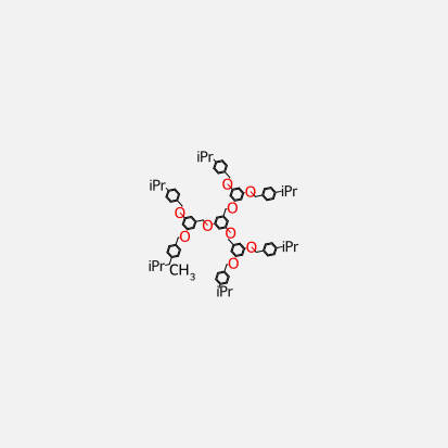 CC(C)c1ccc(COc2cc(COc3cc(COc4cc(OCc5ccc(C(C)C)cc5)cc(OCc5ccc(C(C)C)cc5)c4)cc(OCc4cc(OCc5ccc(C(C)C)cc5)cc(OCc5ccc(C(C)C(C)C)cc5)c4)c3)cc(OCc3ccc(C(C)C)cc3)c2)cc1